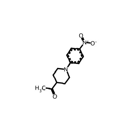 CC(=O)C1CCN(c2ccc([N+](=O)[O-])cc2)CC1